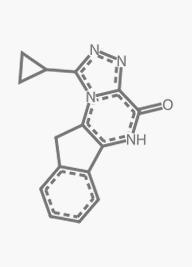 O=c1[nH]c2c(n3c(C4CC4)nnc13)Cc1ccccc1-2